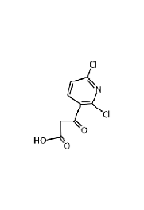 O=C(O)CC(=O)c1ccc(Cl)nc1Cl